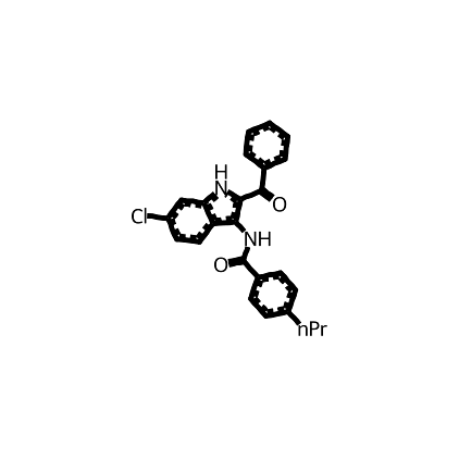 CCCc1ccc(C(=O)Nc2c(C(=O)c3ccccc3)[nH]c3cc(Cl)ccc23)cc1